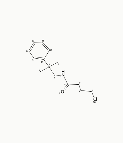 CC(C)(CNC(=O)CCCCl)c1ccccc1